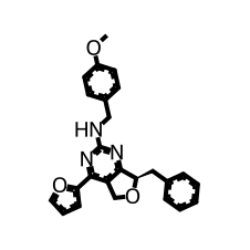 COc1ccc(CNc2nc(-c3ccco3)c3c(n2)[C@@H](Cc2ccccc2)OC3)cc1